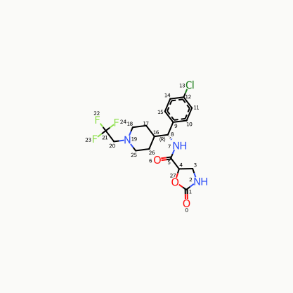 O=C1NCC(C(=O)N[C@@H](c2ccc(Cl)cc2)C2CCN(CC(F)(F)F)CC2)O1